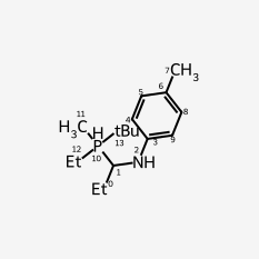 CCC(Nc1ccc(C)cc1)[PH](C)(CC)C(C)(C)C